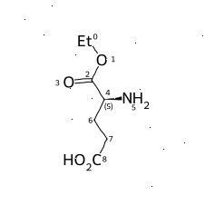 CCOC(=O)[C@@H](N)CCC(=O)O